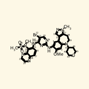 COc1cc2c(cc1Nc1ncc(Br)c(Nc3ccc4nccnc4c3N(C)S(C)(=O)=O)n1)-c1cnn(C)c1CCN2C1CCOCC1